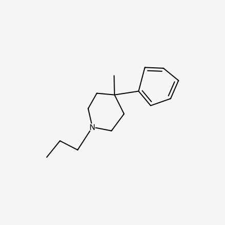 CCCN1CCC(C)(c2ccccc2)CC1